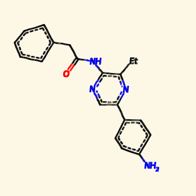 CCc1nc(-c2ccc(N)cc2)cnc1NC(=O)Cc1ccccc1